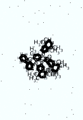 Cc1cc2c3c(c1)N(c1cccc4c1oc1ccccc14)c1cc4c(cc1B3c1c(oc3cc5c(cc13)C(C)(C)CCC5(C)C)N2c1ccc2c(c1)C(C)(C)CCC2(C)C)C(C)(C)CCC4(C)C